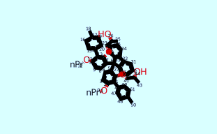 CCCOc1ccc(C2(c3ccc(OCCC)c(-c4ccc(C)cc4)c3OCC(C)O)c3ccccc3-c3ccccc32)c(OCC(C)O)c1-c1ccc(C)cc1